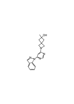 CC1(O)CC2(CN(c3cc(-n4ncc5ccccc54)ncn3)C2)C1